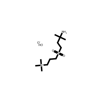 CC(C)(N)CCS(=O)(=O)CCC[N+](C)(C)C.Cl.[Cl-]